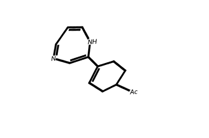 CC(=O)C1CC=C(C2=CN=CC=CN2)CC1